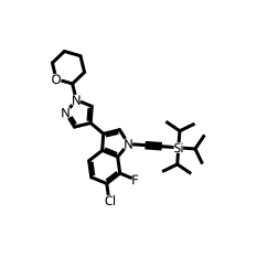 CC(C)[Si](C#Cn1cc(-c2cnn(C3CCCCO3)c2)c2ccc(Cl)c(F)c21)(C(C)C)C(C)C